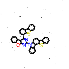 c1ccc2c(c1)oc1nc(-n3c4ccccc4c4c5sc6ccccc6c5ccc43)nc(-c3cccc4c3sc3ccccc34)c12